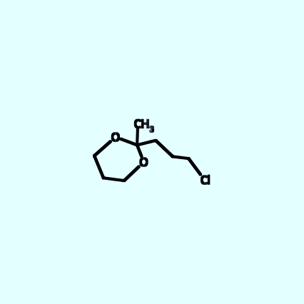 CC1(CCCCl)OCCCO1